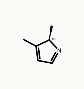 CC1=CC=N[C@@H]1C